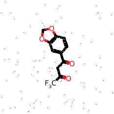 O=C(CC(=O)C(F)(F)F)c1ccc2c(c1)OCO2